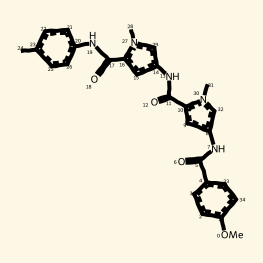 COc1ccc(C(=O)Nc2cc(C(=O)Nc3cc(C(=O)Nc4ccc(C)cc4)n(C)c3)n(C)c2)cc1